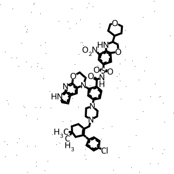 CC1(C)CCC(CN2CCN(c3ccc(C(=O)NS(=O)(=O)c4cc5c(c([N+](=O)[O-])c4)NC(C4CCOCC4)CO5)c(N4CCOc5nc6[nH]ccc6cc54)c3)CC2)=C(c2ccc(Cl)cc2)C1